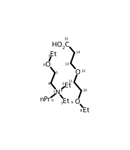 CCC[N+](CC)(CC)CCOCC.CCOCCOCCC(=O)O